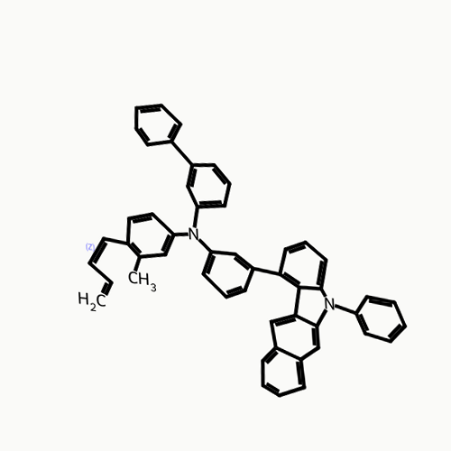 C=C/C=C\c1ccc(N(c2cccc(-c3ccccc3)c2)c2cccc(-c3cccc4c3c3cc5ccccc5cc3n4-c3ccccc3)c2)cc1C